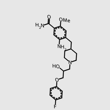 COc1cc(CC2CCN(CC(O)COc3ccc(F)cc3)CC2)c(N)cc1C(N)=O